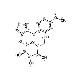 OC[C@H]1O[C@@H](Oc2ccsc2Cc2ccc(OC(F)(F)F)cc2)[C@H](O)[C@@H](O)[C@@H]1O